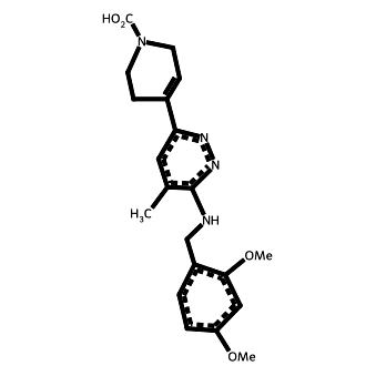 COc1ccc(CNc2nnc(C3=CCN(C(=O)O)CC3)cc2C)c(OC)c1